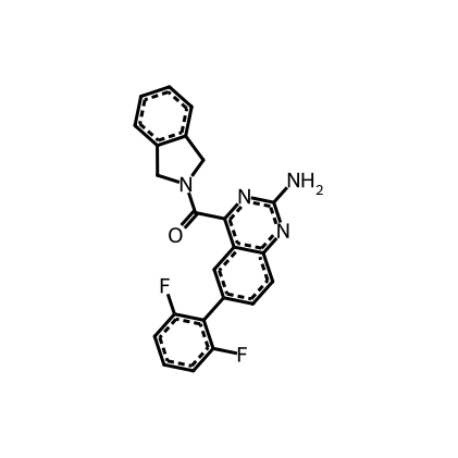 Nc1nc(C(=O)N2Cc3ccccc3C2)c2cc(-c3c(F)cccc3F)ccc2n1